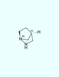 C1C[N@@]2C[C@@H]1CN2